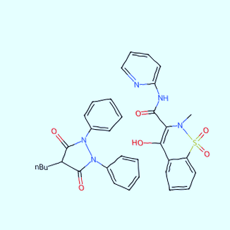 CCCCC1C(=O)N(c2ccccc2)N(c2ccccc2)C1=O.CN1C(C(=O)Nc2ccccn2)=C(O)c2ccccc2S1(=O)=O